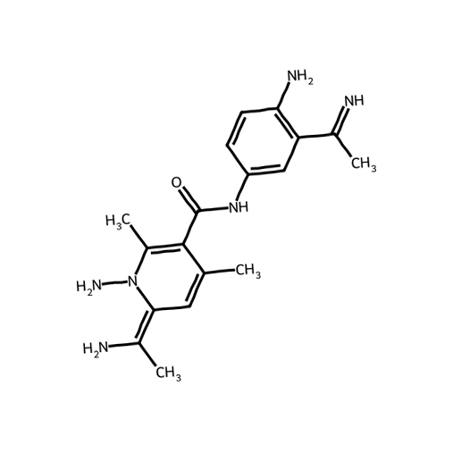 CC(=N)c1cc(NC(=O)C2=C(C)N(N)/C(=C(/C)N)C=C2C)ccc1N